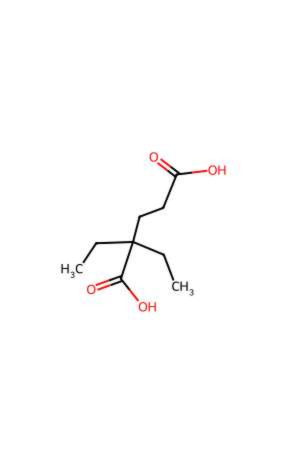 CCC(CC)(CCC(=O)O)C(=O)O